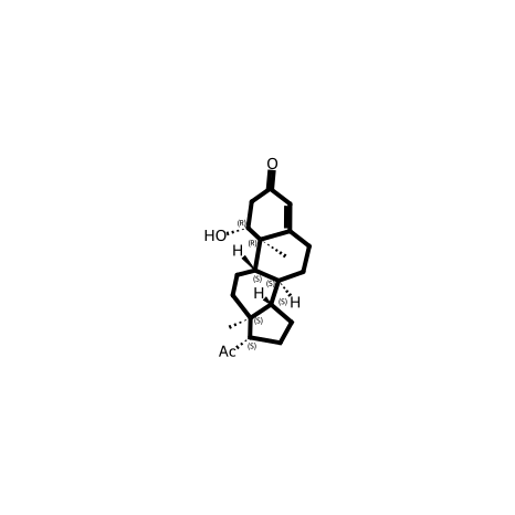 CC(=O)[C@H]1CC[C@H]2[C@@H]3CCC4=CC(=O)C[C@@H](O)[C@]4(C)[C@H]3CC[C@]12C